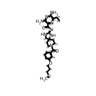 COCCCOc1cccc(C(=O)N2CCC3(CC2)CN/C(=N\C(=O)c2nc(CI)c(N)nc2N)N3)c1